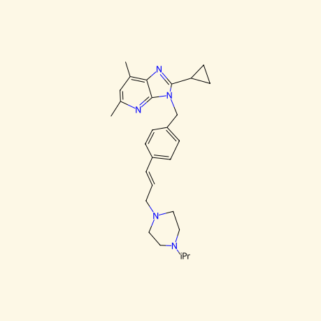 Cc1cc(C)c2nc(C3CC3)n(Cc3ccc(/C=C/CN4CCN(C(C)C)CC4)cc3)c2n1